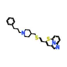 C(=CC1=Cc2cnc3cccc(n23)S1)SCC1CCN(CCCc2ccccc2)CC1